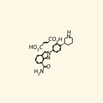 NC(=O)c1cccc2cn(-c3ccc([C@@H]4CCCNC4)cc3)nc12.O=C(O)C=CC(=O)O